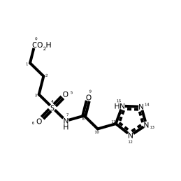 O=C(O)CCCS(=O)(=O)NC(=O)Cc1nnn[nH]1